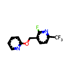 Fc1nc(C(F)(F)F)ccc1COc1ccccn1